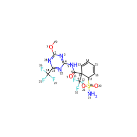 COc1nc(NC(=O)C2(C(F)(F)F)C=CC=CC2S(N)(=O)=O)nc(C(F)(F)F)n1